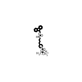 CC(C)(C)OC(=O)N1CCC(CCCCNC(=O)OCC2c3ccccc3-c3ccccc32)CC1